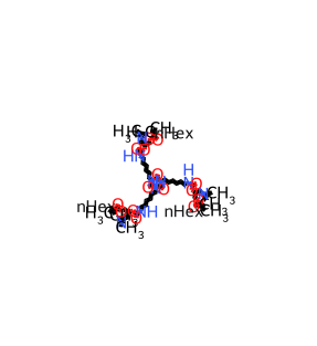 CCCCCCC(C)(C)C(=O)OCC(CC1CN1C)OC(=O)NCCCCCCn1c(=O)n(CCCCCCNC(=O)OC(COC(=O)C(C)(C)CCCCCC)CN2CC2C)c(=O)n(CCCCCCNC(=O)OC(COC(=O)C(C)(C)CCCCCC)CN2CC2C)c1=O